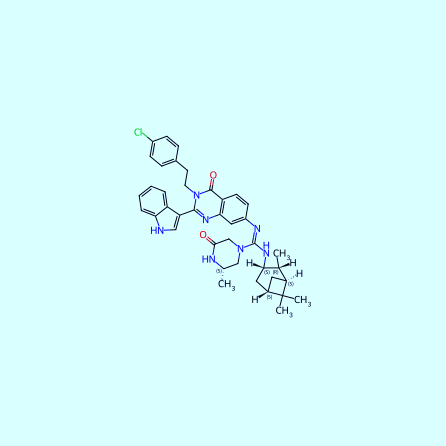 C[C@H]1[C@@H](NC(=Nc2ccc3c(=O)n(CCc4ccc(Cl)cc4)c(-c4c[nH]c5ccccc45)nc3c2)N2CC(=O)N[C@@H](C)C2)C[C@@H]2C[C@@H]1C2(C)C